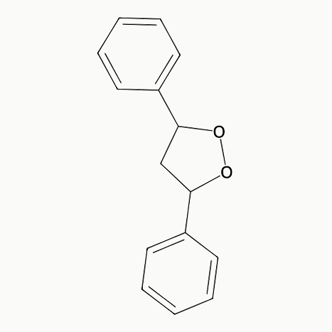 c1ccc(C2CC(c3ccccc3)OO2)cc1